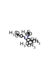 COC(=O)c1ccc(/C=C/c2cc3c(cc2/C=C/S(C)(=O)=O)C(C)(C)CCC3(C)C)cc1